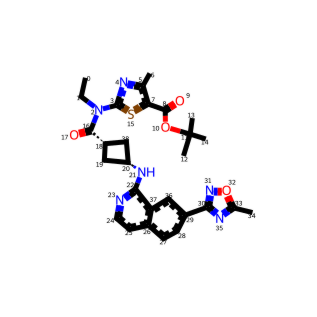 CCN(c1nc(C)c(C(=O)OC(C)(C)C)s1)C(=O)[C@H]1C[C@@H](Nc2nccc3ccc(-c4noc(C)n4)cc23)C1